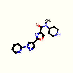 CN(C(=O)c1coc(-c2cnn(-c3ccccn3)c2)n1)C1CCNCC1